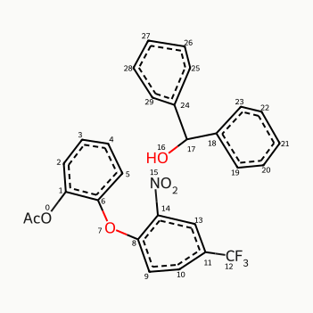 CC(=O)Oc1ccccc1Oc1ccc(C(F)(F)F)cc1[N+](=O)[O-].OC(c1ccccc1)c1ccccc1